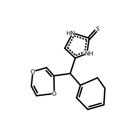 S=c1[nH]cc(C(C2=CC=CCC2)C2=COC=CO2)[nH]1